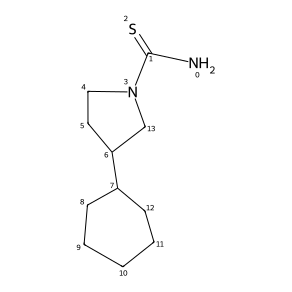 NC(=S)N1CCC(C2CCCCC2)C1